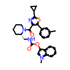 Cc1cccc(-c2sc(C3CC3)nc2C(=O)N2CCCC[C@H]2CNC(=O)Oc2cn(C)c3ccccc23)c1